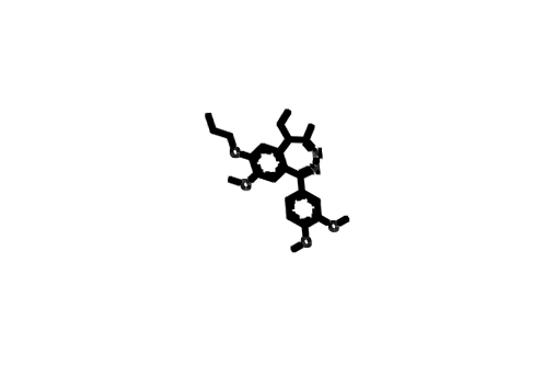 CCCOc1cc2c(cc1OC)C(c1ccc(OC)c(OC)c1)=NN=C(C)C2CC